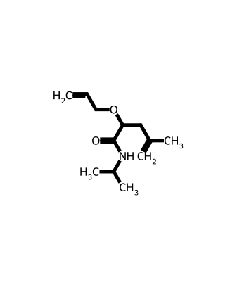 C=CCOC(CC(=C)C)C(=O)NC(C)C